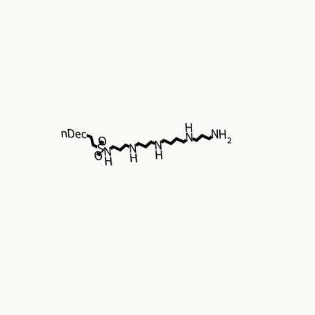 CCCCCCCCCCCCS(=O)(=O)NCCCNCCCNCCCCNCCCN